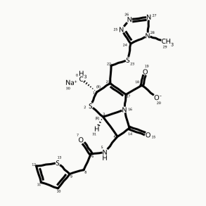 C[C@H]1S[C@@H]2C(NC(=O)Cc3cccs3)C(=O)N2C(C(=O)[O-])=C1CSc1nnnn1C.[Na+]